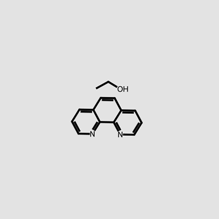 CCO.c1cnc2c(c1)ccc1cccnc12